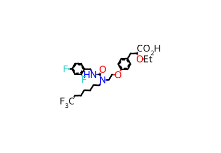 CCOC(Cc1ccc(OCCN(CCCCCCC(F)(F)F)C(=O)NCc2ccc(F)cc2F)cc1)C(=O)O